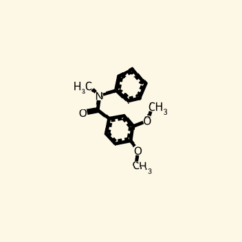 COc1ccc(C(=O)N(C)c2[c]cccc2)cc1OC